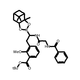 COc1c(CC(NC(=O)CNC(=O)c2ccccc2)B2OC3CC4CC(C4(C)C)C3(C)O2)cccc1C(=O)OC(C)(C)C